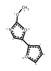 COc1ncc(-c2ccco2)o1